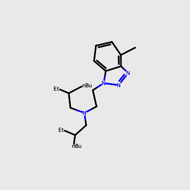 CCCCC(CC)CN(CCn1nnc2c(C)cccc21)CC(CC)CCCC